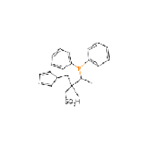 CC(P(c1ccccc1)c1ccccc1)C(C)(CC1C=CC=C1)CS(=O)(=O)O